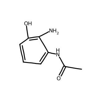 CC(=O)Nc1cccc(O)c1N